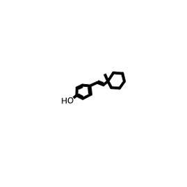 CC1(C=Cc2ccc(O)cc2)CCCCC1